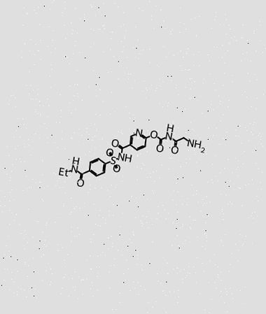 CCNC(=O)c1ccc(S(=O)(=O)NC(=O)c2ccc(OC(=O)NC(=O)CN)nc2)cc1